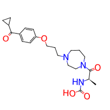 C[C@@H](NC(=O)O)C(=O)N1CCCN(CCCOc2ccc(C(=O)C3CC3)cc2)CC1